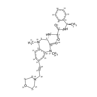 C[C@@H](NC(=O)C(=O)N[C@H]1CN(C)c2ccc(C#CCN3CCOCC3)cc2N(C)C1=O)c1ccccc1